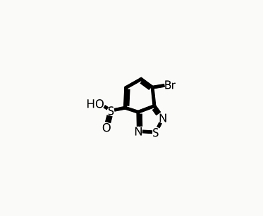 O=S(O)c1ccc(Br)c2nsnc12